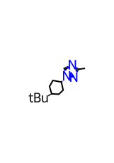 Cc1ncn([C@H]2CC[C@H](C(C)(C)C)CC2)n1